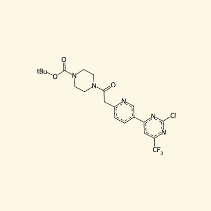 CC(C)(C)OC(=O)N1CCN(C(=O)Cc2ccc(-c3cc(C(F)(F)F)nc(Cl)n3)cn2)CC1